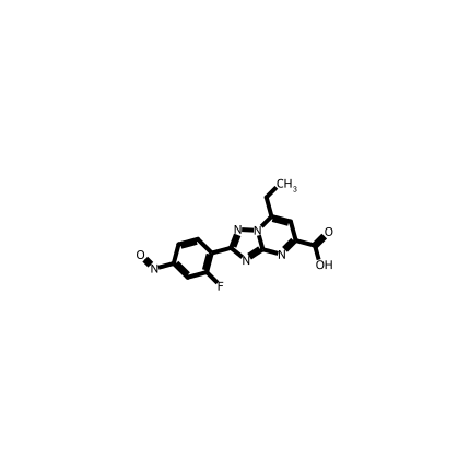 CCc1cc(C(=O)O)nc2nc(-c3ccc(N=O)cc3F)nn12